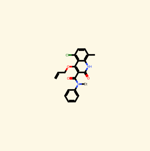 C=CCOc1c(C(=O)N(CC)c2ccccc2)c(=O)[nH]c2c(C)ccc(Cl)c12